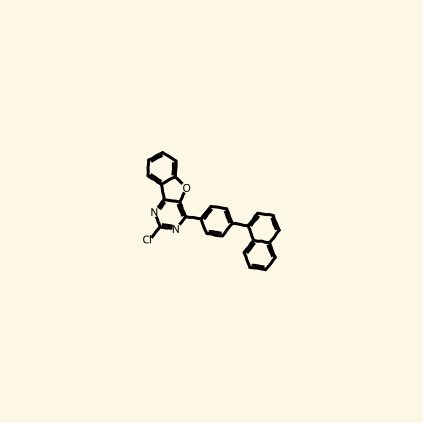 Clc1nc(-c2ccc(-c3cccc4ccccc34)cc2)c2oc3ccccc3c2n1